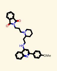 COc1ccc(-c2cc(NCCC3CCCCN3CCCN3C(=O)c4ccccc4C3=O)c3ccccc3n2)cc1